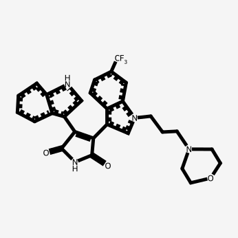 O=C1NC(=O)C(c2cn(CCCN3CCOCC3)c3cc(C(F)(F)F)ccc23)=C1c1c[nH]c2ccccc12